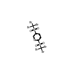 O=S(=O)(c1ccc(S(=O)(=O)C(Br)(Br)Br)nc1)C(Br)(Br)Br